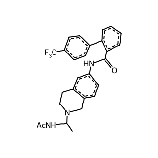 CC(=O)NC(C)N1CCc2cc(NC(=O)c3ccccc3-c3ccc(C(F)(F)F)cc3)ccc2C1